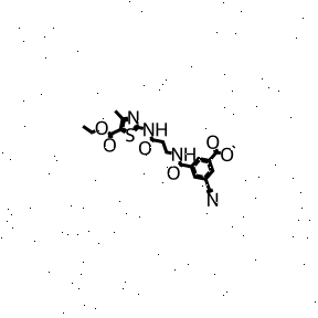 CCOC(=O)c1sc(NC(=O)CCNC(=O)c2cc(C#N)cc(C(=O)OC)c2)nc1C